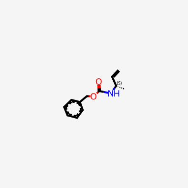 C=C[C@H](C)NC(=O)OCc1ccccc1